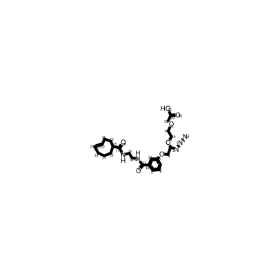 [N-]=[N+]=NC(COc1cccc(C(=O)NCCNC(=O)C2CC/C=C/CCC2)c1)OCCOCC(=O)O